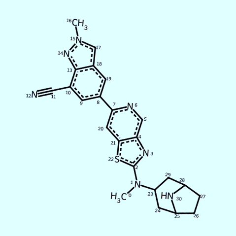 CN(c1nc2cnc(-c3cc(C#N)c4nn(C)cc4c3)cc2s1)C1CC2CCC(C1)N2